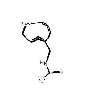 NC(=O)NCC1=CCNC=C1